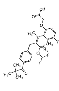 C=C(OC(F)F)/C(Cc1ccc(C(=O)C(C)(C)C)cc1)=C(/C)c1c(OCC(=O)O)ccc(F)c1C